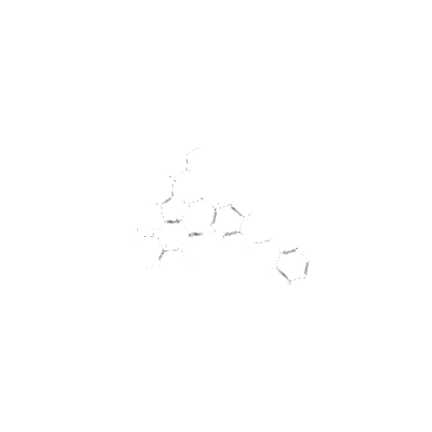 Cn1c(=O)c2c(nc(NCCO)n2Cc2ccc(OCc3ccccc3)cc2)n(C)c1=O